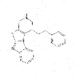 c1ccc(CCC2CNCc3sc4nc5ccccc5n4c32)cc1